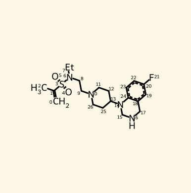 C=C(C)S(=O)(=O)N(CC)CCN1CCC(N2CNCc3cc(F)ccc32)CC1